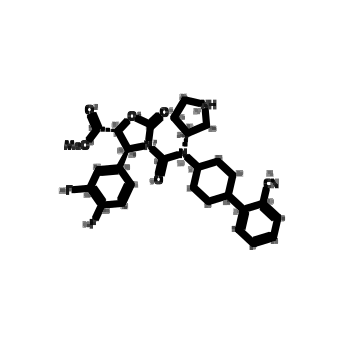 COC(=O)[C@@H]1OC(=O)N(C(=O)N(C2CCC(c3ccccc3C#N)CC2)[C@@H]2CCNC2)[C@H]1c1ccc(F)c(F)c1